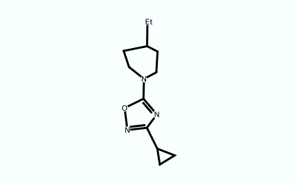 CCC1CCN(c2nc(C3CC3)no2)CC1